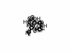 Cc1cn(-c2cc(NC(=O)c3ccc(C)c(Nc4nccc(-c5cccnc5)n4)c3)cc(C(F)(F)F)c2)cn1.O=C(O)CC(=O)O